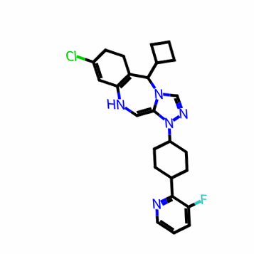 Fc1cccnc1C1CCC(N2N=CN3C2=CNC2=C(CCC(Cl)=C2)C3C2CCC2)CC1